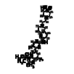 Cc1nc2c(F)cc(-c3nc(Nc4ccc5c(n4)CCN(CCN4CCS(=N)(=O)CC4)C5)ncc3F)cc2n1C(C)(C)C